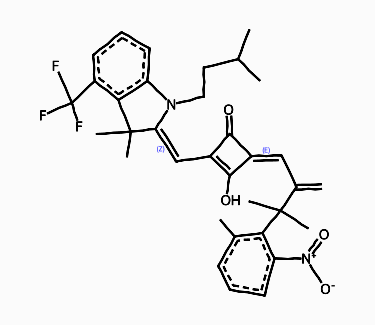 C=C(/C=C1/C(=O)C(/C=C2\N(CCC(C)C)c3cccc(C(F)(F)F)c3C2(C)C)=C1O)C(C)(C)c1c(C)cccc1[N+](=O)[O-]